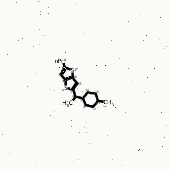 CCCc1cc2sc(C(C)C3CCC(C)CC3)cc2s1